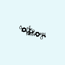 C=CC(=O)Nc1ccc(NC(=O)c2cnn(-c3ccc(OC)cc3)c2C(F)(F)F)cc1